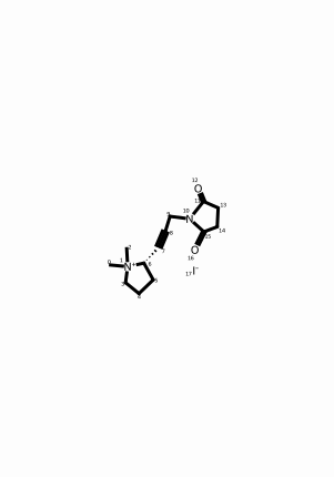 C[N+]1(C)CCC[C@H]1C#CCN1C(=O)CCC1=O.[I-]